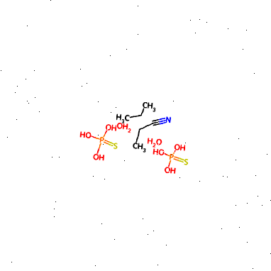 CCC.CCC#N.O.O.OP(O)(O)=S.OP(O)(O)=S